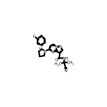 CC(C)(C#N)NC(=O)c1cnn2ccc(N3CCC[C@@H]3c3cccc(F)c3)nc12